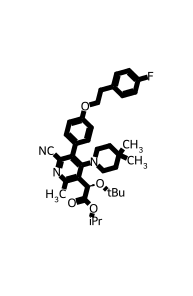 Cc1nc(C#N)c(-c2ccc(OCCc3ccc(F)cc3)cc2)c(N2CCC(C)(C)CC2)c1[C@H](OC(C)(C)C)C(=O)OC(C)C